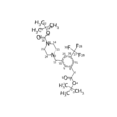 CC(C)(C)OC(=O)Cc1cc(CN2CCN(C(=O)OC(C)(C)C)CC2)cc(C(F)(F)F)c1